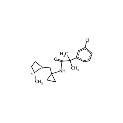 C[C@@H]1CCN1CC1(NC(=O)C(C)(C)c2cccc(Cl)c2)CC1